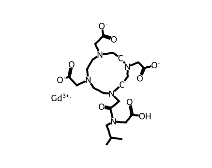 CC(C)CN(CC(=O)O)C(=O)CN1CCN(CC(=O)[O-])CCN(CC(=O)[O-])CCN(CC(=O)[O-])CC1.[Gd+3]